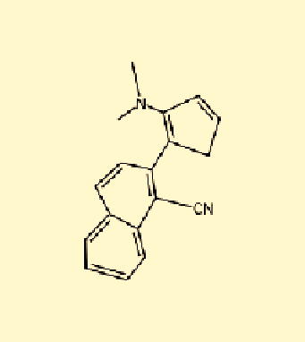 CN(C)C1=C(c2ccc3ccccc3c2C#N)CC=C1